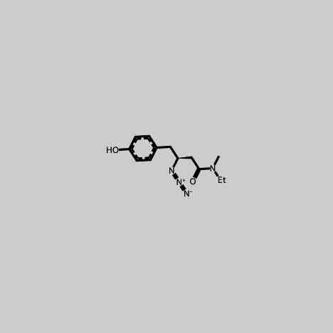 CCN(C)C(=O)C[C@H](Cc1ccc(O)cc1)N=[N+]=[N-]